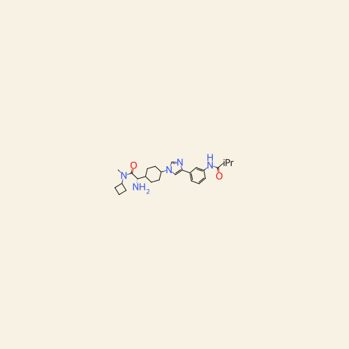 CC(C)C(=O)Nc1cccc(-c2cn(C3CCC([C@H](N)C(=O)N(C)C4CCC4)CC3)cn2)c1